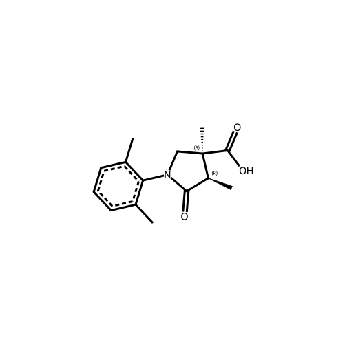 Cc1cccc(C)c1N1C[C@@](C)(C(=O)O)[C@@H](C)C1=O